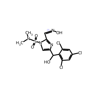 CN(C)S(=O)(=O)n1cc(C(O)c2c(Cl)cc(Cl)cc2Cl)nc1/C=N\O